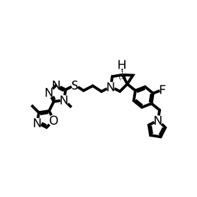 Cc1ncoc1-c1nnc(SCCCN2C[C@H]3CC3(c3ccc(Cn4cccc4)c(F)c3)C2)n1C